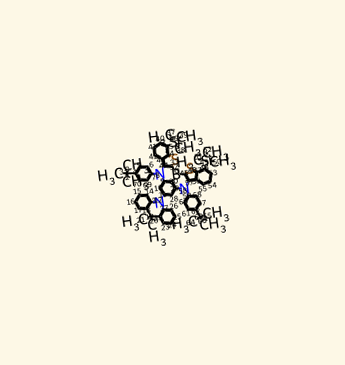 CC(C)(C)c1ccc(N2c3cc(N4c5ccccc5C(C)(C)c5ccccc54)cc4c3B(c3sc5c([Si](C)(C)C)cccc5c32)c2sc3c([Si](C)(C)C)cccc3c2N4c2ccc(C(C)(C)C)cc2)cc1